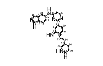 N=c1cc(-c2nccc(Nc3ccc4[nH]ncc4c3)n2)ccn1/C=C/C1=CNNC=C1